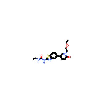 CCNC(=O)Nc1nc2cc(-c3ccc(=O)n(CCOCC)c3)ccc2s1